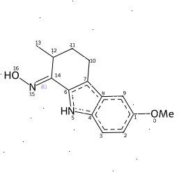 COc1ccc2[nH]c3c(c2c1)CCC(C)/C3=N\O